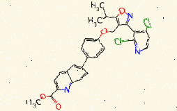 COC(=O)c1ccc2cc(-c3ccc(OCc4c(-c5c(Cl)ccnc5Cl)noc4C(C)C)cc3)ccc2n1